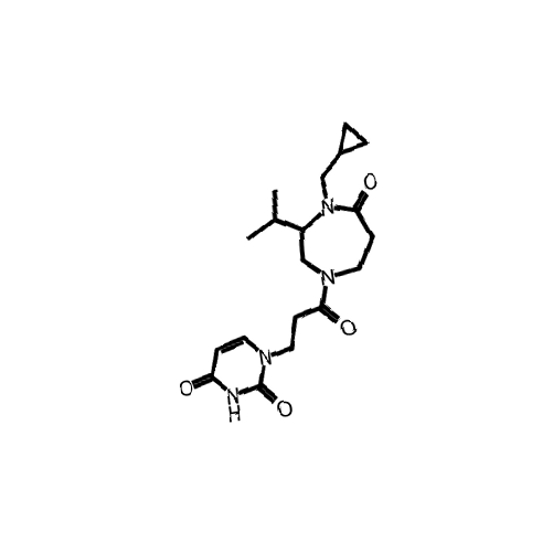 CC(C)C1CN(C(=O)CCn2ccc(=O)[nH]c2=O)CCC(=O)N1CC1CC1